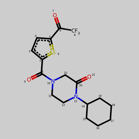 O=C(c1ccc(C(=O)C(F)(F)F)s1)N1CCN(C2CCCCC2)C(=O)C1